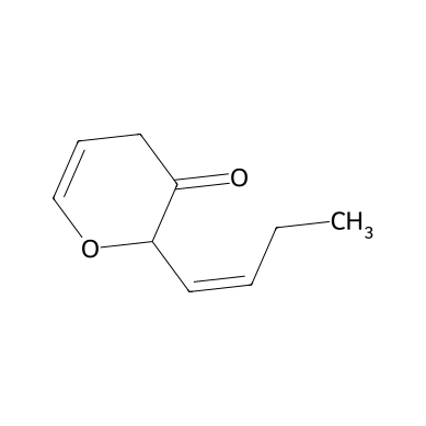 CC/C=C\C1OC=CCC1=O